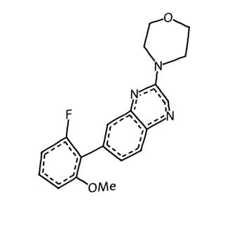 COc1cccc(F)c1-c1ccc2ncc(N3CCOCC3)nc2c1